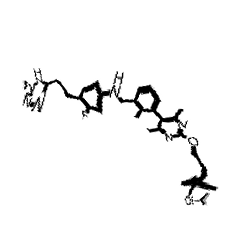 Cc1nc(OCCC(C)(C)O)nc(C)c1-c1cccc(CNc2ccc(CCc3nnn[nH]3)c(F)c2)c1C